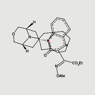 CCOC(=O)/C(=N\OC)c1nc2ccccc2n([C@H]2C[C@H]3COC[C@@H](C2)N3C2CC3CCCCC(C3)C2)c1=O